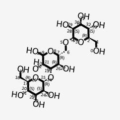 OC[C@H]1O[C@H](OC[C@H]2OC(O)[C@@H](O)[C@@H](O[C@H]3O[C@H](CO)[C@@H](O)[C@H](O)[C@@H]3O)[C@@H]2O)[C@@H](O)[C@@H](O)[C@@H]1O